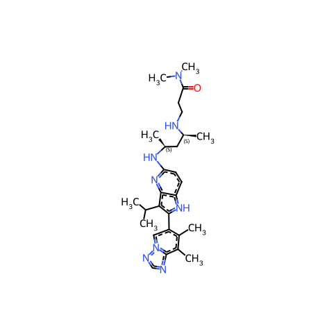 Cc1c(-c2[nH]c3ccc(N[C@@H](C)C[C@H](C)NCCC(=O)N(C)C)nc3c2C(C)C)cn2ncnc2c1C